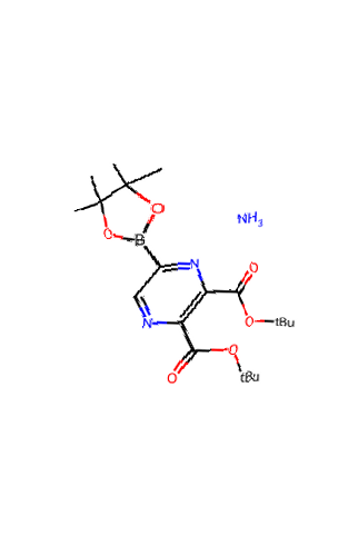 CC(C)(C)OC(=O)c1ncc(B2OC(C)(C)C(C)(C)O2)nc1C(=O)OC(C)(C)C.N